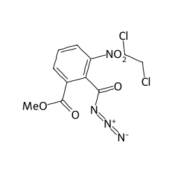 COC(=O)c1cccc([N+](=O)[O-])c1C(=O)N=[N+]=[N-].ClCCCl